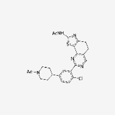 CC(=O)Nc1nc2c(s1)-c1nc(-c3cc(C4CCN(C(C)=O)CC4)ccc3Cl)ncc1CC2